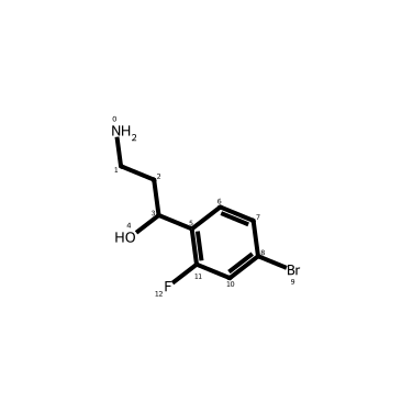 NCCC(O)c1ccc(Br)cc1F